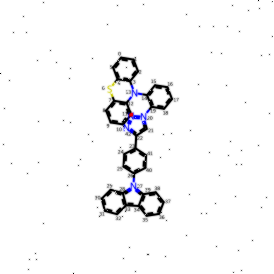 c1ccc2c(c1)Sc1ccccc1N2c1ccccc1-n1cc(-c2ccc(-n3c4ccccc4c4ccccc43)cc2)nn1